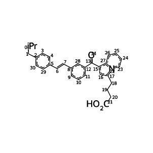 CC(C)Cc1ccc(/C=C/c2cccc(C(=O)c3cc(CCCC(=O)O)n4ccccc34)c2)cc1